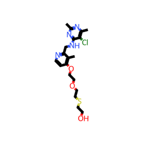 Cc1nc(C)c(Cl)c(NCc2nccc(OCCOCCSCCO)c2C)n1